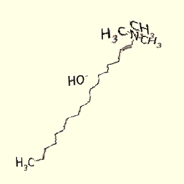 CCCCCCCCCCCCCCCC/C=C/[N+](C)(C)C.[OH-]